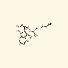 CCCCCCCCCCC(C(O)CCCCO)P(=O)(c1ccccc1)c1ccccc1